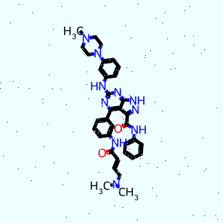 CN(C)C/C=C/C(=O)Nc1cccc(-c2nc(Nc3cccc(N4CCN(C)CC4)c3)nc3[nH]nc(C(=O)Nc4ccccc4)c23)c1